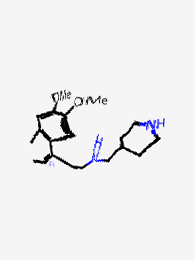 C/C=C(/CNCC1CCNCC1)c1cc(OC)c(OC)cc1C